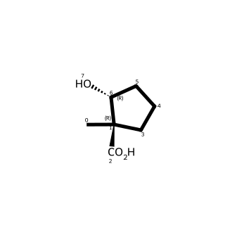 C[C@@]1(C(=O)O)CCC[C@H]1O